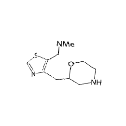 CNCc1scnc1CC1CNCCO1